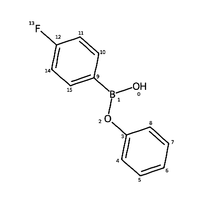 OB(Oc1ccccc1)c1ccc(F)cc1